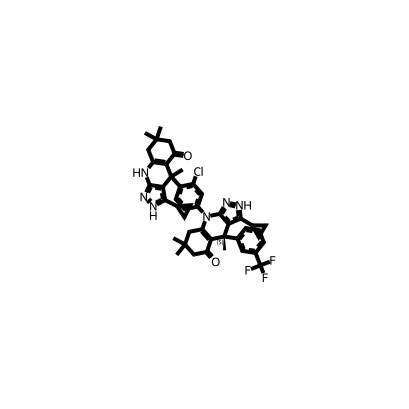 CC1(C)CC(=O)C2=C(C1)Nc1n[nH]c(C3CC3)c1C2(C)c1ccc(N2C3=C(C(=O)CC(C)(C)C3)[C@@](C)(c3cccc(C(F)(F)F)c3)c3c2n[nH]c3C2CC2)cc1Cl